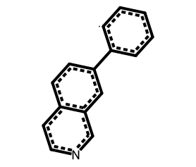 [c]1ccccc1-c1ccc2ccncc2c1